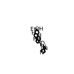 CC[C@@]1(O)CCC2[C@H](CC[C@@H]3[C@@H]2CC[C@]2(C)[C@@H](C(=O)Cn4nnc5ccncc54)CC[C@@H]32)C1